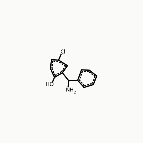 NC(c1ccccc1)c1cc(Cl)ccc1O